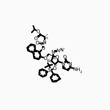 CC(C)OC(=O)[C@H](C)/N=[P+](\[O-])Oc1c(OC[C@@]2(N=[N+]=[N-])OC(n3ccc(N)nc3=O)[C@H](O[Si](c3ccccc3)(c3ccccc3)C(C)(C)C)[C@@H]2F)ccc2ccccc12